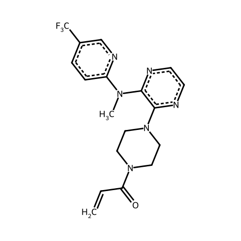 C=CC(=O)N1CCN(c2nccnc2N(C)c2ccc(C(F)(F)F)cn2)CC1